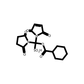 O=C(OC(N1C(=O)C=CC1=O)(N1C(=O)CCC1=O)S(=O)(=O)O)C1CCCCC1